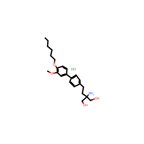 CCCCCCOc1ccc(-c2ccc(CCC(N)(CO)CO)cc2)cc1OC.Cl